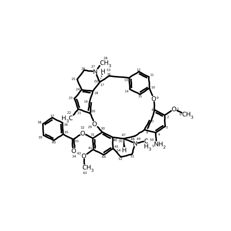 COc1cc(N)c2cc1Oc1ccc(cc1)C[C@H]1c3cc(c(C)cc3CCN1C)Oc1c(OC(=O)c3ccccc3)c(OC)cc3c1[C@H](C2)N(C)CC3